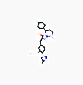 COc1cc(/C=C2\N=C3N(C)CCC(c4ccc(F)cc4)N3C2=O)ccc1-n1cnc(C)c1